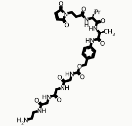 CC(C)[C@H](NC(=O)CCN1C(=O)C=CC1=O)C(=O)N[C@@H](C)C(=O)Nc1ccc(COC(=O)NCC(=O)NCC(=O)NCC(=O)NCCN)cc1